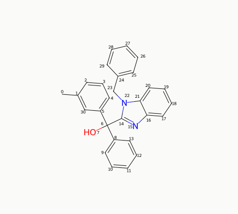 Cc1cccc(C(O)(c2ccccc2)c2nc3ccccc3n2Cc2ccccc2)c1